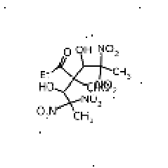 CCC(=O)C([C]=O)(C(O)C(C)([N+](=O)[O-])[N+](=O)[O-])C(O)C(C)([N+](=O)[O-])[N+](=O)[O-]